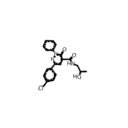 CC(O)CNC(=O)c1cc(-c2ccc(Cl)cc2)nn(-c2ccccc2)c1=O